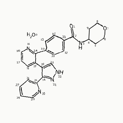 O.O=C(NC1CCOCC1)c1ccc(-c2ncccc2-c2c[nH]nc2-c2ccccn2)cc1